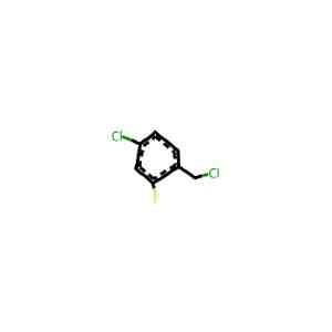 Fc1cc(Cl)ccc1CCl